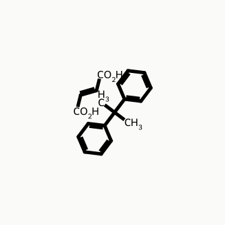 CC(C)(c1ccccc1)c1ccccc1.O=C(O)C=CC(=O)O